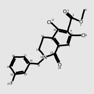 COC(=O)c1c(Cl)cc2c(c1Cl)CCN(Cc1cccc(F)c1)C2=O